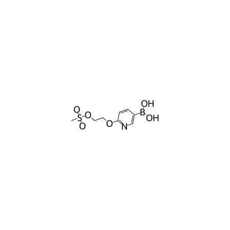 CS(=O)(=O)OCCOc1ccc(B(O)O)cn1